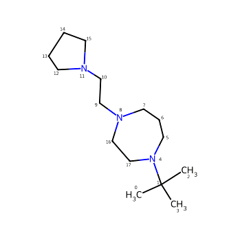 CC(C)(C)N1CCCN(CCN2CCCC2)CC1